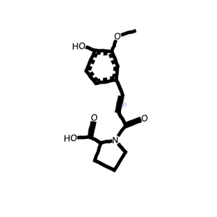 COc1cc(/C=C/C(=O)N2CCCC2C(=O)O)ccc1O